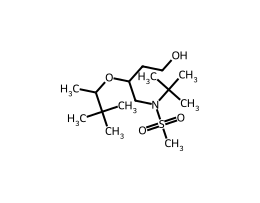 CC(OC(CCO)CN(C(C)(C)C)S(C)(=O)=O)C(C)(C)C